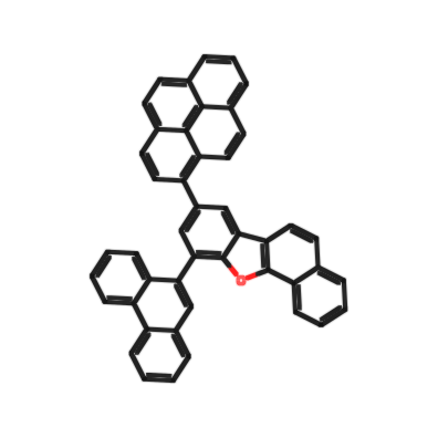 c1ccc2c(c1)cc(-c1cc(-c3ccc4ccc5cccc6ccc3c4c56)cc3c1oc1c4ccccc4ccc31)c1ccccc12